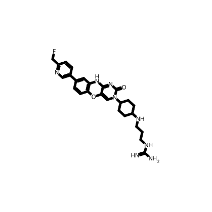 N=C(N)NCCCNC1CCC(n2cc3c(nc2=O)Nc2cc(-c4ccc(CF)nc4)ccc2O3)CC1